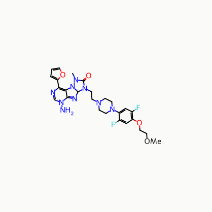 COCCOc1cc(F)c(N2CCN(CCN3C(=O)N(C)N4C5=C(c6ccco6)N=CN(N)C5=NC34)CC2)cc1F